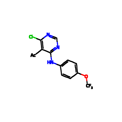 CC(=O)c1c(Cl)ncnc1Nc1ccc(OC(F)(F)F)cc1